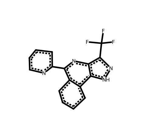 FC(F)(F)c1n[nH]c2c1nc(-c1ccccn1)c1ccccc12